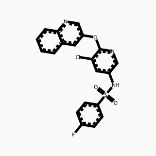 O=S(=O)(Nc1cnc(Oc2cnc3ccccc3c2)c(Cl)c1)c1ccc(F)cc1